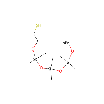 CCCO[Si](C)(C)O[Si](C)(C)O[Si](C)(C)OCCS